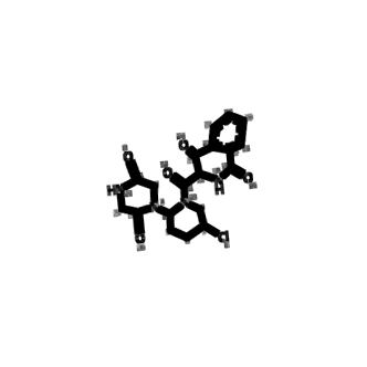 O=C1CN(C2CCC(Cl)CN2C(=O)C2NC(=O)c3ccccc3C2=O)C(=O)CN1